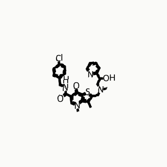 Cc1c(CN(C)CC(O)c2ccccn2)sc2c(=O)c(C(=O)NCc3ccc(Cl)cc3)cn(C)c12